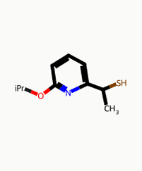 CC(C)Oc1cccc(C(C)S)n1